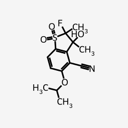 CC(C)Oc1ccc2c(c1C#N)C(C)(O)C(C)(F)S2(=O)=O